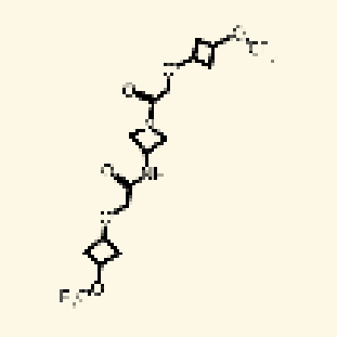 O=C(COC1CC(OC(F)(F)F)C1)NC1CN(C(=O)COC2CC(OC(F)(F)F)C2)C1